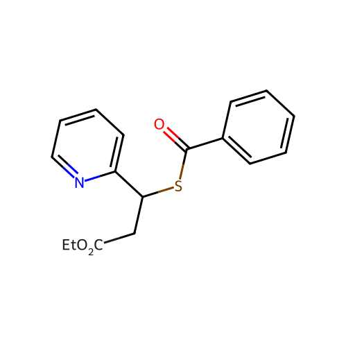 CCOC(=O)CC(SC(=O)c1ccccc1)c1ccccn1